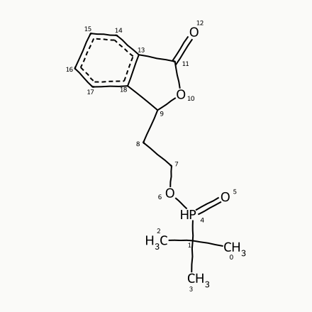 CC(C)(C)[PH](=O)OCCC1OC(=O)c2ccccc21